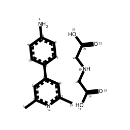 Cc1cc(-c2ccc(N)cc2)cc(C)n1.O=C(O)CNCC(=O)O